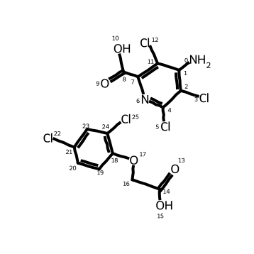 Nc1c(Cl)c(Cl)nc(C(=O)O)c1Cl.O=C(O)COc1ccc(Cl)cc1Cl